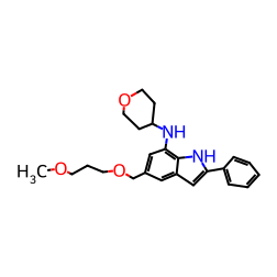 COCCCOCc1cc(NC2CCOCC2)c2[nH]c(-c3ccccc3)cc2c1